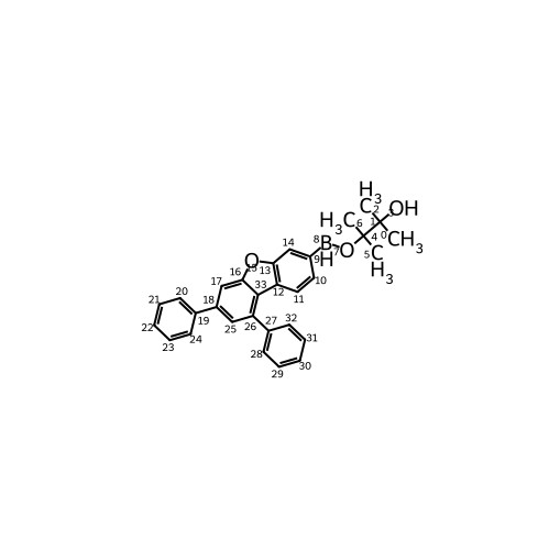 CC(C)(O)C(C)(C)OBc1ccc2c(c1)oc1cc(-c3ccccc3)cc(-c3ccccc3)c12